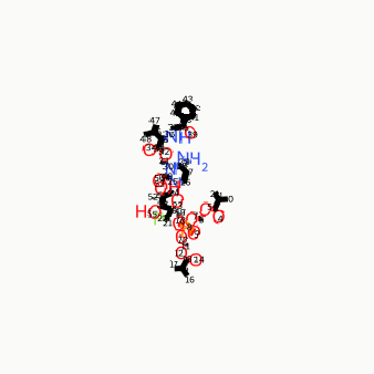 CC(C)C(=O)OCOP(=O)(OCOC(=O)C(C)C)OC[C@@]1(CF)O[C@@H](N2C=CC(N)N(COC(=O)C(NCC(=O)c3ccccc3)C(C)C)C2=O)[C@](C)(O)[C@@H]1O